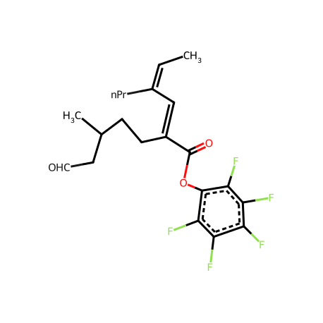 C/C=C(\C=C(/CCC(C)CC=O)C(=O)Oc1c(F)c(F)c(F)c(F)c1F)CCC